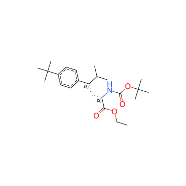 CCOC(=O)[C@H](C[C@H](c1ccc(C(C)(C)C)cc1)C(C)C)NC(=O)OC(C)(C)C